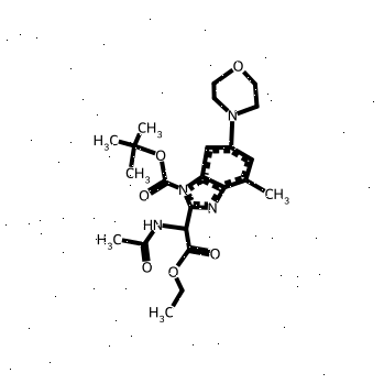 CCOC(=O)C(NC(C)=O)c1nc2c(C)cc(N3CCOCC3)cc2n1C(=O)OC(C)(C)C